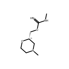 CNC(=N)OC[C@@H]1CN(C)CCO1